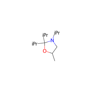 CC1CN(C(C)C)C(C(C)C)(C(C)C)O1